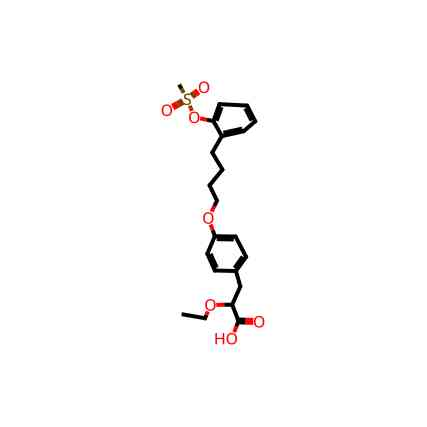 CCOC(Cc1ccc(OCCCCc2ccccc2OS(C)(=O)=O)cc1)C(=O)O